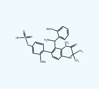 CCCS(=O)(=O)Oc1ccc(-c2ccc3c(c2C(N)c2ccccc2OC)N(C)C(=O)C(C)(C)N3)c(OC)c1